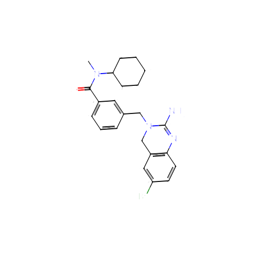 CN(C(=O)c1cccc(CN2Cc3cc(Br)ccc3N=C2N)c1)C1CCCCC1